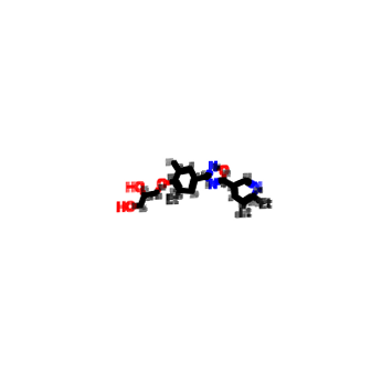 CCc1cc(-c2nc(-c3cc(C)c(OCC(O)CO)c(CC)c3)no2)cnc1CC